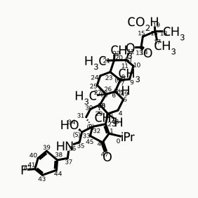 CC(C)C1=C2[C@H]3CC[C@@H]4[C@@]5(C)CC[C@H](OC(=O)CC(C)(C)C(=O)O)C(C)(C)C5CC[C@@]4(C)[C@]3(C)CC[C@@]2([C@H](O)CNCc2ccc(F)cc2)CC1=O